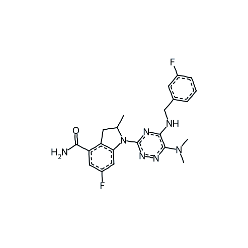 CC1Cc2c(C(N)=O)cc(F)cc2N1c1nnc(N(C)C)c(NCc2cccc(F)c2)n1